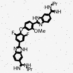 COc1cc(Oc2c(F)cc(-c3nc4ccc(C(=N)NC(C)C)cc4[nH]3)cc2F)ccc1-c1nc2ccc(C(=N)NC(C)C)cc2[nH]1